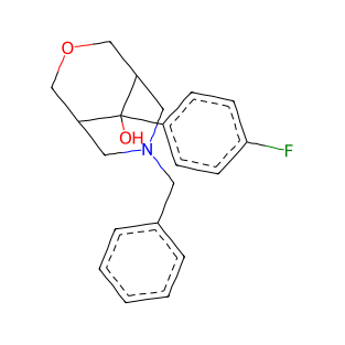 OC1(c2ccc(F)cc2)C2COCC1CN(Cc1ccccc1)C2